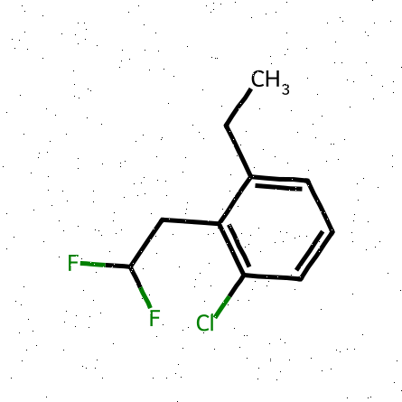 CCc1cccc(Cl)c1CC(F)F